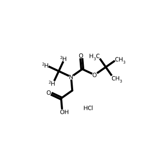 Cl.[2H]C([2H])([2H])N(CC(=O)O)C(=O)OC(C)(C)C